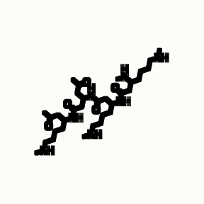 CNCCCCC(CC(=O)NC(CCCCNC)CC(=O)NC(CC(C)=O)CC(=O)NC(CCCCNC)CC(C)=O)NC